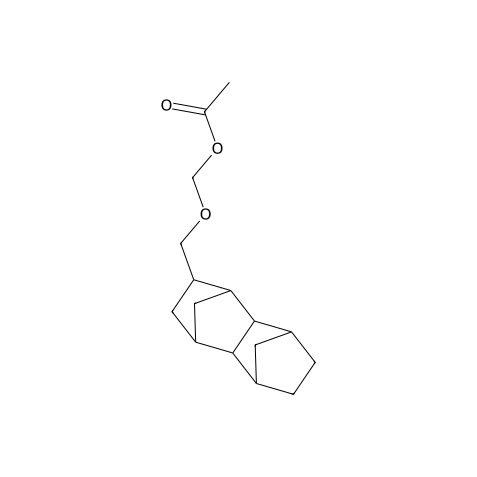 CC(=O)OCOCC1CC2CC1C1C3CCC(C3)C21